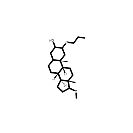 CCCOC1C[C@@]2(C)C(CC[C@@H]3[C@H]2CC[C@]2(C)C(OC)CC[C@@H]32)CC1O